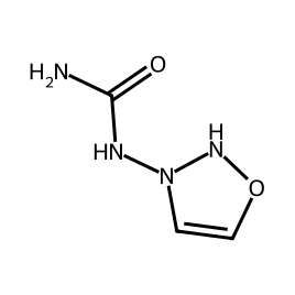 NC(=O)NN1C=CON1